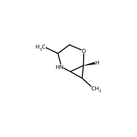 CC1CO[C@@H]2C(C)C2N1